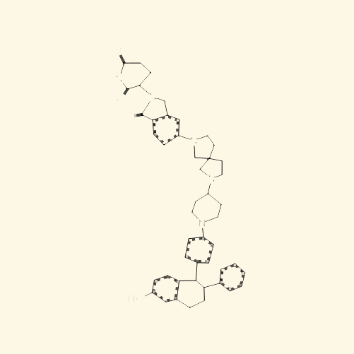 O=C1CCC(N2Cc3cc(N4CCC5(CCN(C6CCN(c7ccc(C8c9ccc(O)cc9CCC8c8ccccc8)cc7)CC6)C5)C4)ccc3C2=O)C(=O)N1